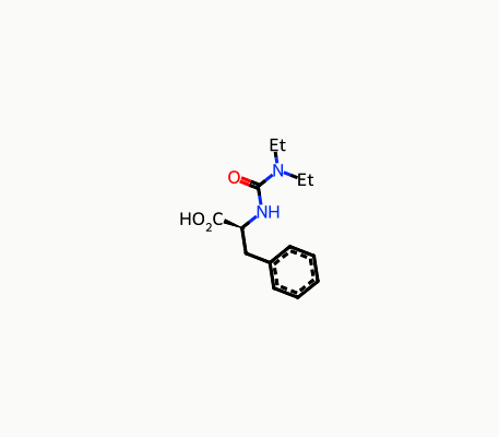 CCN(CC)C(=O)N[C@@H](Cc1ccccc1)C(=O)O